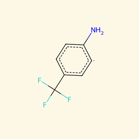 Nc1[c]cc(C(F)(F)F)cc1